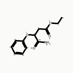 CCOC(=O)CC(Oc1ccccc1)C(N)=O